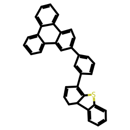 C1=CC(c2cccc(-c3ccc4c5ccccc5c5ccccc5c4c3)c2)=C2Sc3ccccc3C2C1